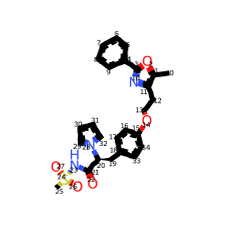 Cc1oc(-c2ccccc2)nc1CCOc1ccc(C[C@@H](C(=O)NS(C)(=O)=O)n2cccc2)cc1